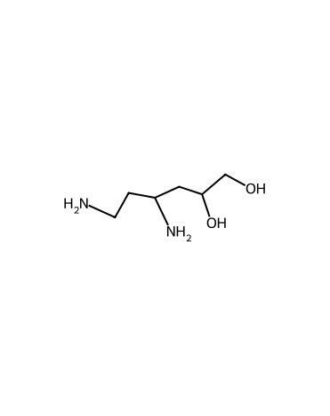 NCCC(N)CC(O)CO